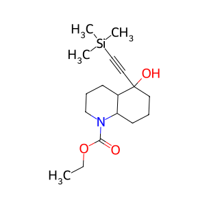 CCOC(=O)N1CCCC2C1CCCC2(O)C#C[Si](C)(C)C